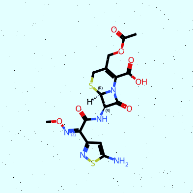 CO/N=C(\C(=O)N[C@@H]1C(=O)N2C(C(=O)O)=C(COC(C)=O)CS[C@H]12)c1cc(N)sn1